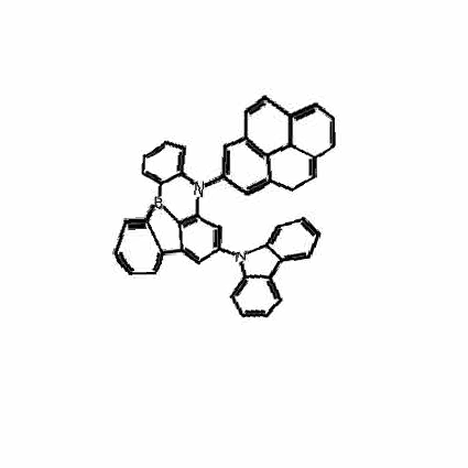 C1=CC2=CCc3cc(N4c5ccccc5B5c6ccccc6-c6cc(-n7c8ccccc8c8ccccc87)cc4c65)cc4c3C2C(=C1)C=C4